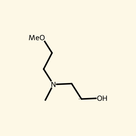 COCCN(C)C[CH]O